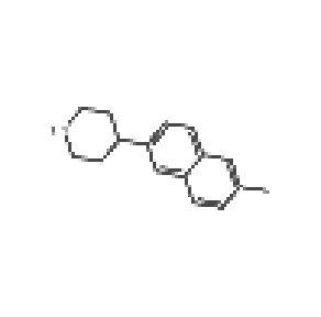 Cc1ccc2cc(C3CCNCC3)ccc2c1